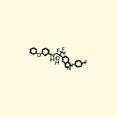 OC(CNc1cccc(Oc2ccccc2)c1)(c1ccc2c(cnn2-c2ccc(F)cc2)c1)C(F)(F)F